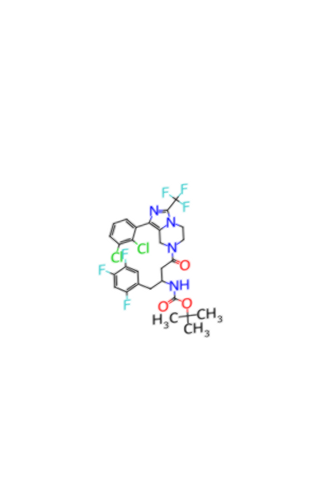 CC(C)(C)OC(=O)NC(CC(=O)N1CCn2c(C(F)(F)F)nc(-c3cccc(Cl)c3Cl)c2C1)Cc1cc(F)c(F)cc1F